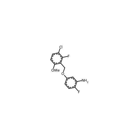 COc1ccc(Cl)c(F)c1COc1ccc(F)c(N)c1